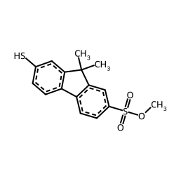 COS(=O)(=O)c1ccc2c(c1)C(C)(C)c1cc(S)ccc1-2